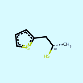 C[C@H](S)Cc1cccs1